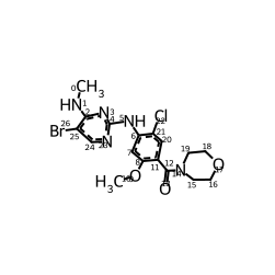 CNc1nc(Nc2cc(OC)c(C(=O)N3CCOCC3)cc2Cl)ncc1Br